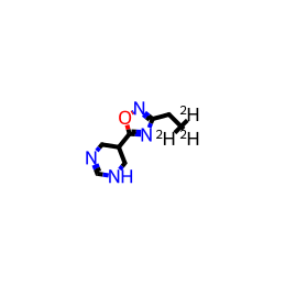 [2H]C([2H])([2H])Cc1noc(C2CN=CNC2)n1